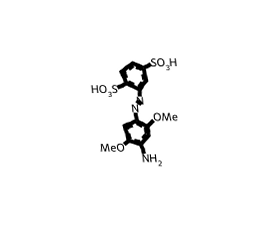 COc1cc(/N=N/c2cc(S(=O)(=O)O)ccc2S(=O)(=O)O)c(OC)cc1N